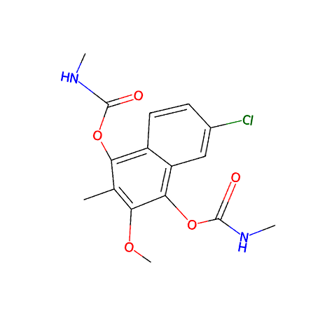 CNC(=O)Oc1c(C)c(OC)c(OC(=O)NC)c2cc(Cl)ccc12